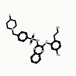 O=S(=O)(Nc1nc2ccccc2nc1Nc1cc(O)ccc1CCO)c1ccc(CN2CCC(F)CC2)cc1